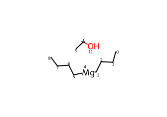 CCC[CH2][Mg][CH2]CCC.CCO